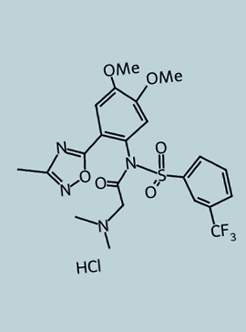 COc1cc(-c2nc(C)no2)c(N(C(=O)CN(C)C)S(=O)(=O)c2cccc(C(F)(F)F)c2)cc1OC.Cl